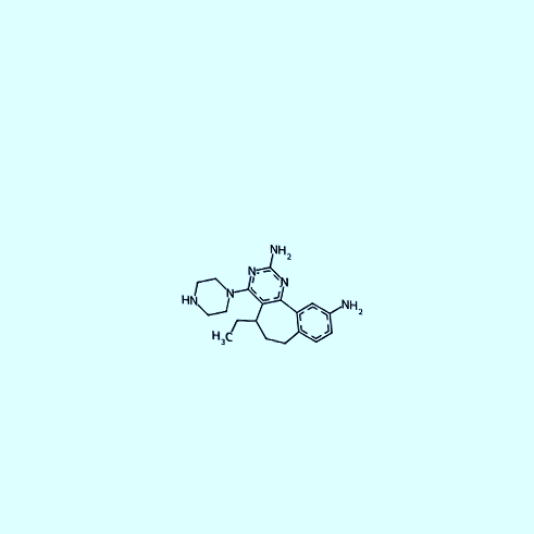 CCC1CCc2ccc(N)cc2-c2nc(N)nc(N3CCNCC3)c21